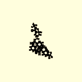 CC(C)(C)OC(=O)N1C[C@@H](CCC(Nc2cccc(S(=O)(=O)NC(=O)c3ccc(C(C)(C)C)nc3F)n2)c2ccc(Cl)cn2)CC1(C)C